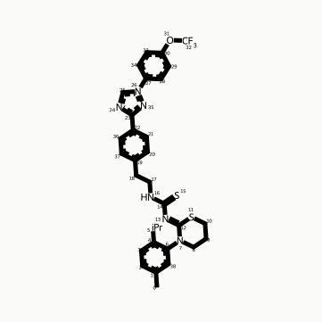 Cc1ccc(C(C)C)c(N2CCCS/C2=N\C(=S)NCCc2ccc(-c3ncn(-c4ccc(OC(F)(F)F)cc4)n3)cc2)c1